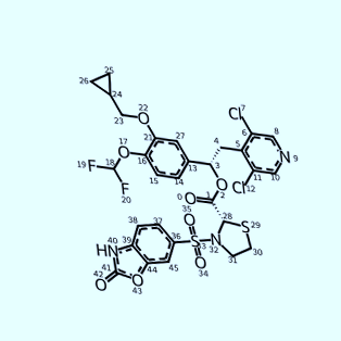 O=C(O[C@@H](Cc1c(Cl)cncc1Cl)c1ccc(OC(F)F)c(OCC2CC2)c1)[C@@H]1SCCN1S(=O)(=O)c1ccc2[nH]c(=O)oc2c1